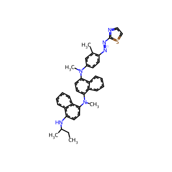 CCC(C)Nc1ccc(N(C)c2ccc(N(C)c3ccc(/N=N/c4nccs4)c(C)c3)c3ccccc23)c2ccccc12